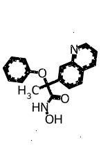 CC(Oc1ccccc1)(C(=O)NO)c1ccc2cccnc2c1